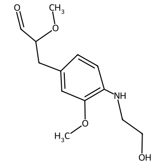 COc1cc(CC(C=O)OC)ccc1NCCO